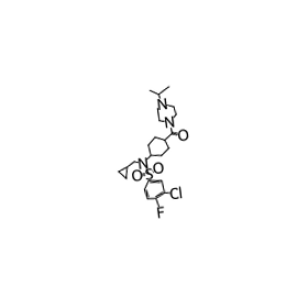 CC(C)N1CCN(C(=O)C2CCC(N(CC3CC3)S(=O)(=O)c3ccc(F)c(Cl)c3)CC2)CC1